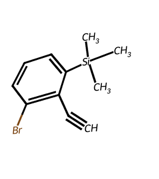 C#Cc1c(Br)cccc1[Si](C)(C)C